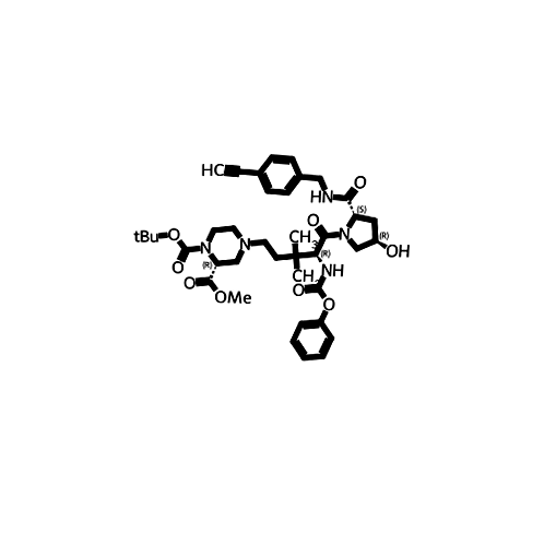 C#Cc1ccc(CNC(=O)[C@@H]2C[C@@H](O)CN2C(=O)[C@H](NC(=O)Oc2ccccc2)C(C)(C)CCN2CCN(C(=O)OC(C)(C)C)[C@@H](C(=O)OC)C2)cc1